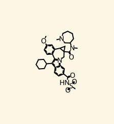 COc1ccc2c(c1)C1CC1(C(=O)N(C)C1CCCCN(C)C1)Cn1c-2c(C2CCCCC2)c2ccc(C(=O)NS(C)(=O)=O)cc21